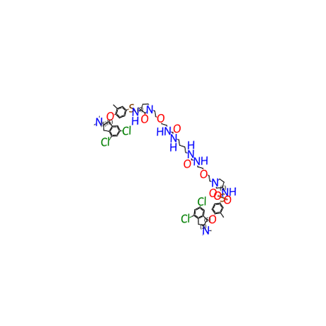 Cc1cc(SN[C@H]2CCN(CCOCCNC(=O)NCCCCNC(=O)NCCOCCN3CC[C@H](NS(=O)(=O)c4ccc(O[C@H]5c6cc(Cl)cc(Cl)c6C[C@@H]5N(C)C)c(C)c4)C3=O)C2=O)ccc1O[C@H]1c2cc(Cl)cc(Cl)c2C[C@@H]1N(C)C